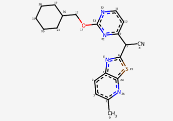 Cc1ccc2nc(C(C#N)c3ccnc(OCC4CCCCC4)n3)sc2n1